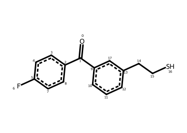 O=C(c1ccc(F)cc1)c1cccc(CCS)c1